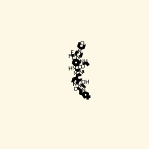 C=CC(=O)Nc1cc(Nc2nc(-c3ccnc(N4CCn5c(cc6c5CC(C)(C)C6)C4=O)c3CO)cn(C)c2=O)ccc1N1CCN(C2CCOCC2)C[C@H]1C(F)(F)F